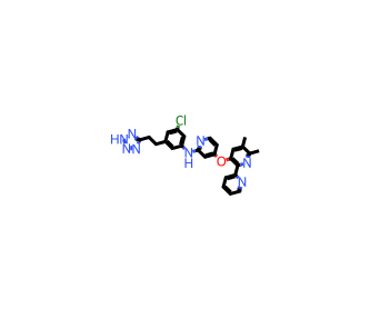 Cc1cc(Oc2ccnc(Nc3cc(Cl)cc(CCc4nn[nH]n4)c3)c2)c(-c2ccccn2)nc1C